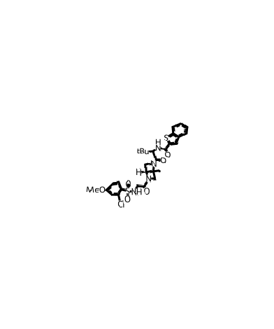 COc1ccc(S(=O)(=O)NCC(=O)N2CC3(C)[C@H]2CN3C(=O)C(NC(=O)c2cc3ccccc3s2)C(C)(C)C)c(Cl)c1